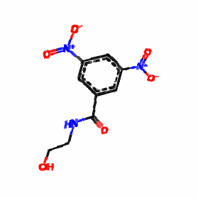 O=C(NCCO)c1cc([N+](=O)[O-])cc([N+](=O)[O-])c1